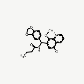 CCCC(=O)NC(c1ccc2c(c1)OCO2)c1cc(Cl)c2cccnc2c1OC